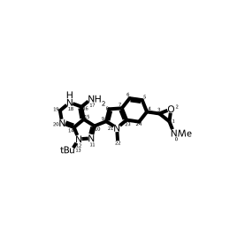 CNC1OC1C1C=Cc2cc(-c3nn(C(C)(C)C)c4c3=C(N)NCN=4)n(C)c2C1